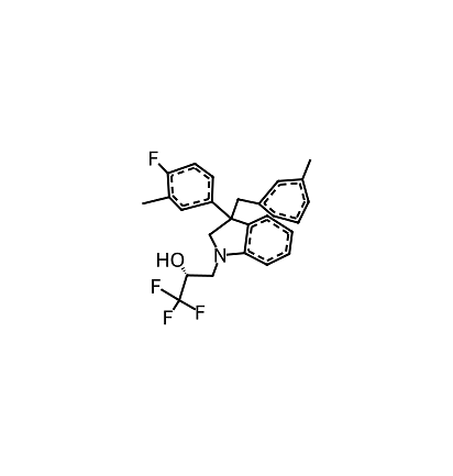 Cc1cccc(CC2(c3ccc(F)c(C)c3)CN(C[C@@H](O)C(F)(F)F)c3ccccc32)c1